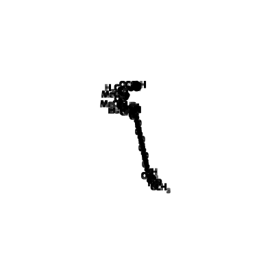 CC[C@H](C)[C@@H]([C@@H](CC(=O)N1CCC[C@H]1[C@H](OC)[C@@H](C)C(=O)N[C@@H](Cc1ccccc1)C(=O)O)OC)N(C)C(=O)[C@@H](NC(=O)[C@]1(C)CCCN1C(=O)CCOCCOCCOCCOCCOCCOCCNC(=O)c1cnc(S(C)(=O)=O)nc1)C(C)C